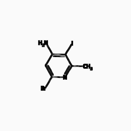 Cc1nc(Br)cc(N)c1I